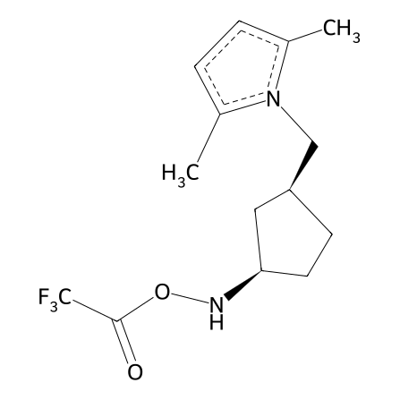 Cc1ccc(C)n1C[C@H]1CC[C@@H](NOC(=O)C(F)(F)F)C1